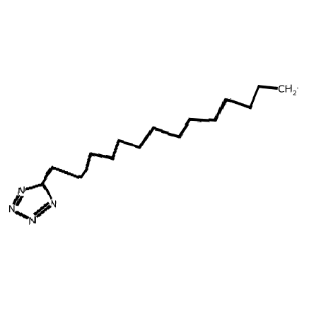 [CH2]CCCCCCCCCCCCCC1N=NN=N1